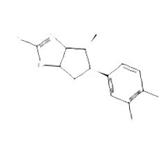 CCc1cc([C@H]2CC3NC(N)=NC3[C@H]2C)ccc1F